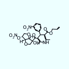 C=CCOC(=O)C1=C(C)NC(C)=C(C(=O)[C@]2(O)CO[C@@H]3[C@H](O[N+](=O)[O-])CO[C@@H]32)C1c1cccc([N+](=O)[O-])c1